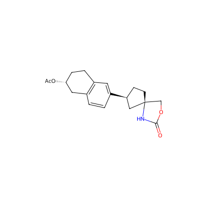 CC(=O)O[C@@H]1CCc2cc([C@H]3CC[C@]4(COC(=O)N4)C3)ccc2C1